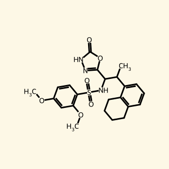 COc1ccc(S(=O)(=O)NC(c2n[nH]c(=O)o2)C(C)c2cccc3c2CCCC3)c(OC)c1